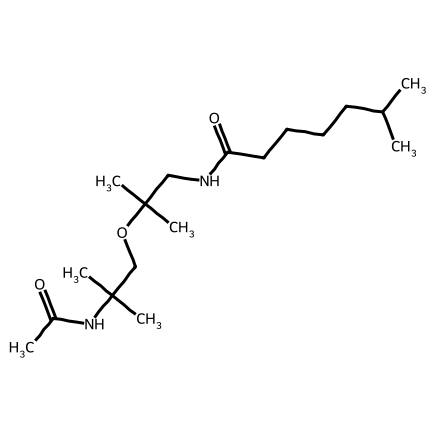 CC(=O)NC(C)(C)COC(C)(C)CNC(=O)CCCCC(C)C